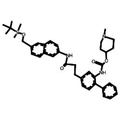 CN1CCC(OC(=O)Nc2cc(CCC(=O)Nc3ccc4cc(CO[Si](C)(C)C(C)(C)C)ccc4c3)ccc2-c2ccccc2)CC1